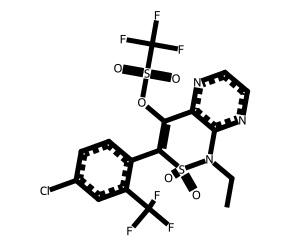 CCN1c2nccnc2C(OS(=O)(=O)C(F)(F)F)=C(c2ccc(Cl)cc2C(F)(F)F)S1(=O)=O